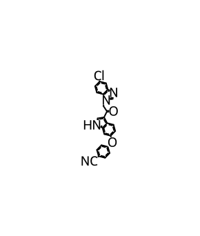 N#Cc1ccc(Oc2ccc3c(C(=O)Cn4cnc5cc(Cl)ccc54)c[nH]c3c2)cc1